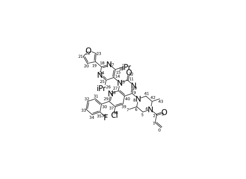 C=CC(=O)N1CC(C)N(c2nc(=O)n(-c3c(C(C)C)nc(-c4ccoc4)nc3C(C)C)c3nc(-c4ccccc4F)c(Cl)cc23)CC1C